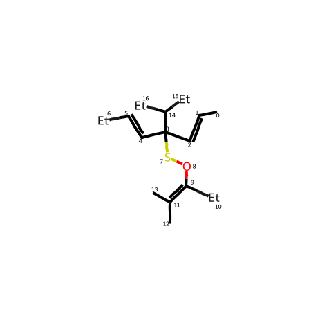 CC=CC(C=CCC)(SOC(CC)=C(C)C)C(CC)CC